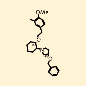 COc1ccc(CCO[C@H]2CCCCC2N2CC[C@@H](OCc3ccccc3)C2)cc1C